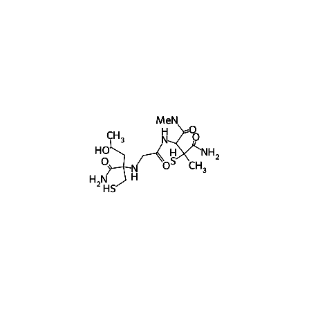 CNC(=O)C(NC(=O)CNC(CS)(CC(C)O)C(N)=O)C(C)(S)C(N)=O